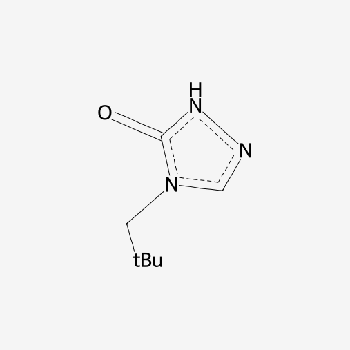 CC(C)(C)Cn1cn[nH]c1=O